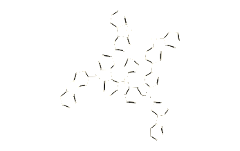 c1ccc(-n2c3c(ccc4c3c3cc(-c5ccc6oc7ccccc7c6c5)ccc3n4-c3ccc4sc5ccccc5c4c3)c3ccc4c(c5cc(-c6ccc7oc8ccccc8c7c6)ccc5n4-c4ccc5sc6ccccc6c5c4)c32)cc1